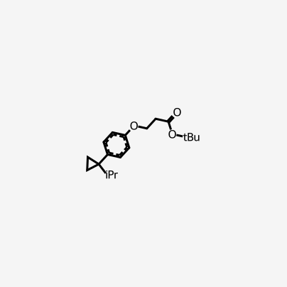 CC(C)C1(c2ccc(OCCC(=O)OC(C)(C)C)cc2)CC1